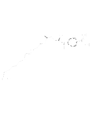 CCCCCCCCCCCCCCCOCCOCCOC(=O)CCC(=O)Nc1ccc(B(O)O)cc1